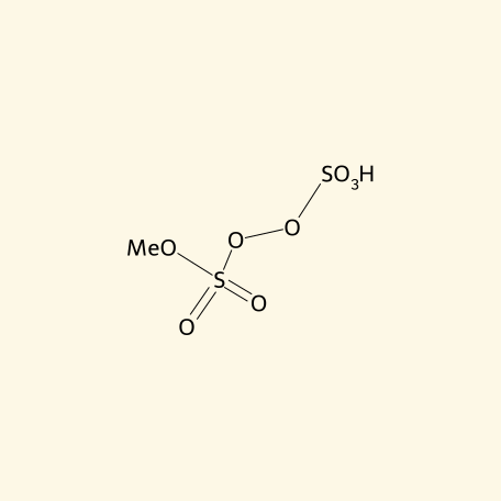 COS(=O)(=O)OOS(=O)(=O)O